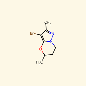 Cc1nn2c(c1Br)OC(C)CC2